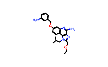 CCOCc1nc2c(N)nc3cc(OCc4cccc(N)c4)ccc3c2n1CC(C)C